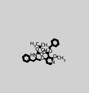 COc1nccc(OCC(Cc2ccccc2)NC(=O)OC(C)(C)C)c1C(=O)OCc1ccccc1